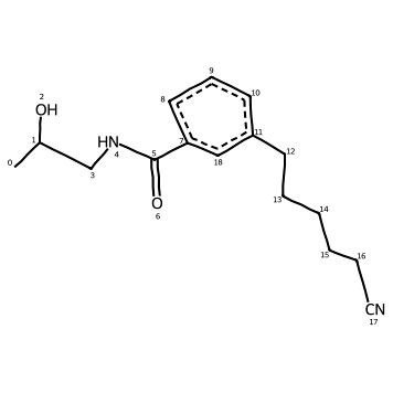 CC(O)CNC(=O)c1cccc(CCCCCC#N)c1